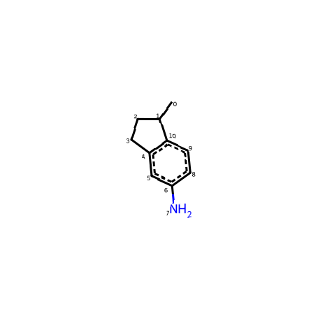 CC1CCc2cc(N)ccc21